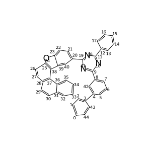 c1ccc(-c2cccc(-c3nc(-c4ccccc4)nc(-c4ccc5oc6ccc7ccc8ccccc8c7c6c5c4)n3)c2)cc1